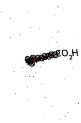 O=C(O)CCOCCOCCOCCOCCOCCOCCNC(=O)CCN1C(=O)C=CC1=O